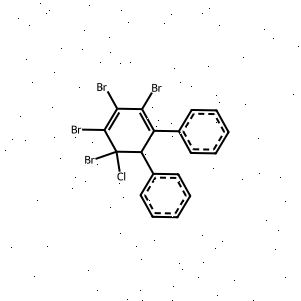 ClC1(Br)C(Br)=C(Br)C(Br)=C(c2ccccc2)C1c1ccccc1